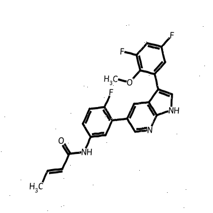 C/C=C/C(=O)Nc1ccc(F)c(-c2cnc3[nH]cc(-c4cc(F)cc(F)c4OC)c3c2)c1